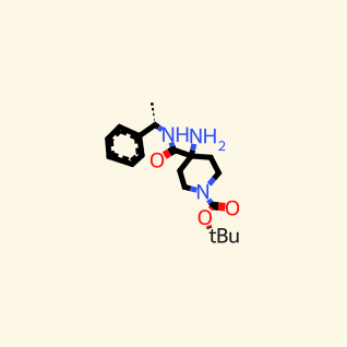 C[C@H](NC(=O)C1(N)CCN(C(=O)OC(C)(C)C)CC1)c1ccccc1